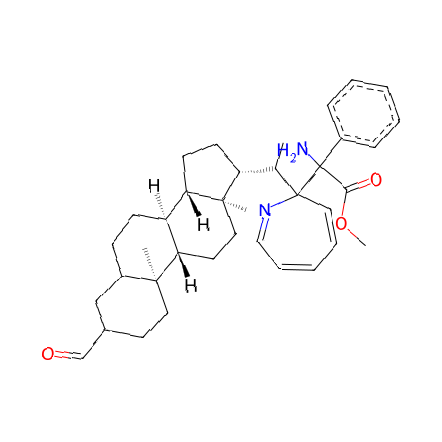 COC(=O)C(N)(c1ccccc1)C1(C(C)[C@H]2CC[C@H]3[C@@H]4CCC5CC(C=O)CC[C@]5(C)[C@H]4CC[C@]23C)C=CC=CC=N1